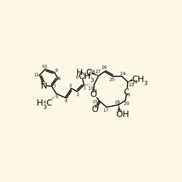 C/C(=C\C=C\[C@H](C)c1ccccn1)[C@H]1OC(=O)C[C@H](O)CC[C@H](C)C/C=C/[C@@H]1C